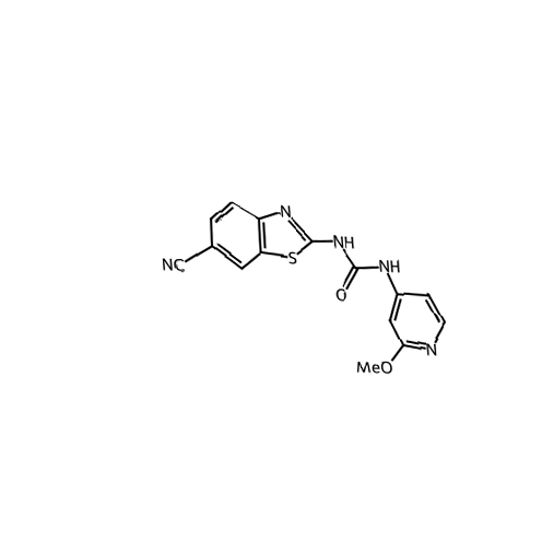 COc1cc(NC(=O)Nc2nc3ccc(C#N)cc3s2)ccn1